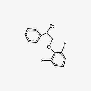 CCC(COc1c(F)cccc1F)c1ccccc1